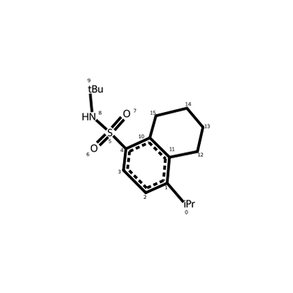 CC(C)c1ccc(S(=O)(=O)NC(C)(C)C)c2c1CCCC2